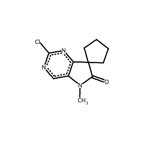 CN1C(=O)C2(CCCC2)c2nc(Cl)ncc21